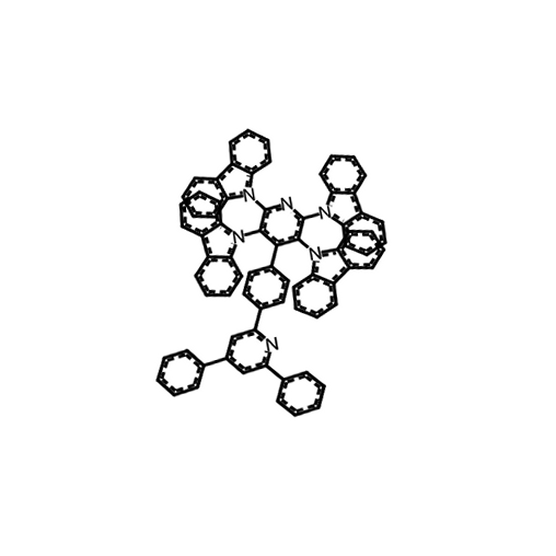 c1ccc(-c2cc(-c3ccccc3)nc(-c3ccc(-c4c(-n5c6ccccc6c6ccccc65)c(-n5c6ccccc6c6ccccc65)nc(-n5c6ccccc6c6ccccc65)c4-n4c5ccccc5c5ccccc54)cc3)c2)cc1